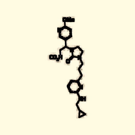 COc1ccc(C(CC(=O)O)N2CCN(CCCc3cccc(NCC4CC4)n3)C2=O)cn1